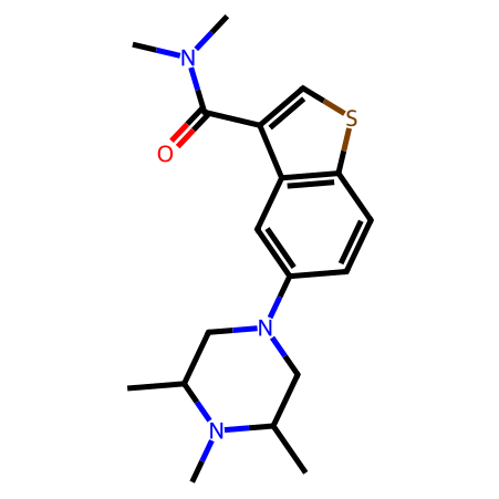 CC1CN(c2ccc3scc(C(=O)N(C)C)c3c2)CC(C)N1C